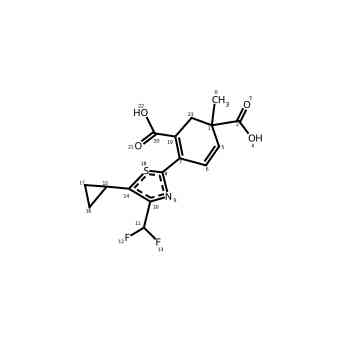 CC1(C(=O)O)C=CC(c2nc(C(F)F)c(C3CC3)s2)=C(C(=O)O)C1